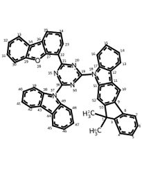 CC1(C)c2ccccc2-c2cc3c4ccccc4n(-c4nc(-c5cccc6c5oc5ccccc56)nc(-n5c6ccccc6c6ccccc65)n4)c3cc21